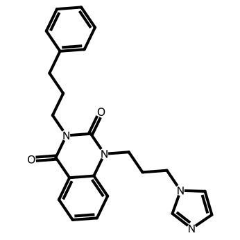 O=c1c2ccccc2n(CCCn2ccnc2)c(=O)n1CCCc1ccccc1